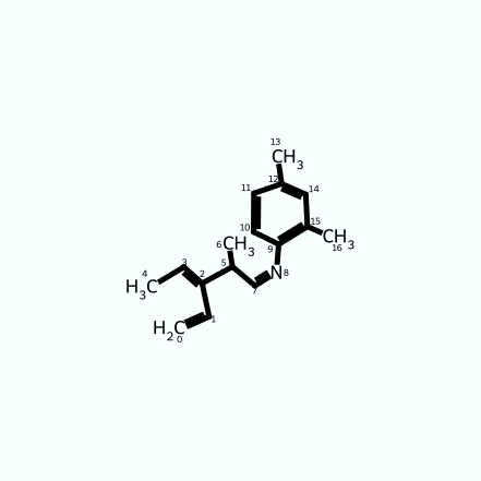 C=C/C(=C\C)C(C)/C=N\c1ccc(C)cc1C